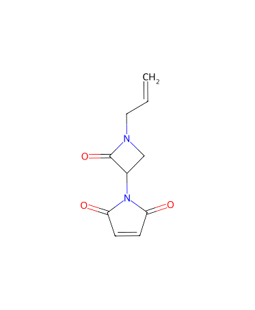 C=CCN1CC(N2C(=O)C=CC2=O)C1=O